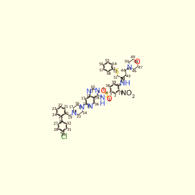 O=[N+]([O-])c1cc(S(=O)(=O)Nc2ncnc3cc(N4CCN(Cc5ccccc5-c5ccc(Cl)cc5)CC4)ncc23)ccc1N[C@H](CCN1CCOCC1)CSc1ccccc1